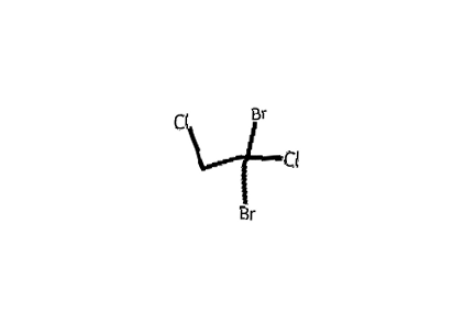 ClCC(Cl)(Br)Br